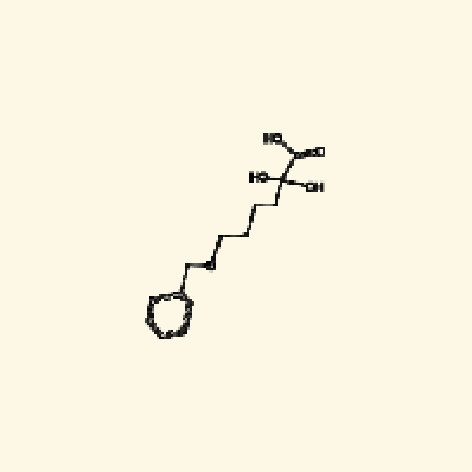 O=C(O)C(O)(O)CCCCOCc1ccccc1